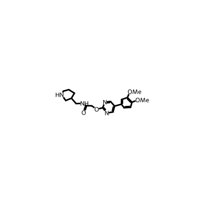 COc1ccc(-c2cnc(OCC(=O)NCC3CCCNC3)nc2)cc1OC